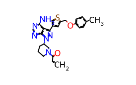 C=CC(=O)N1CCC[C@@H](n2nc(-c3csc(COc4ccc(C)cc4)c3)c3c(N)ncnc32)C1